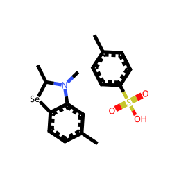 Cc1ccc(S(=O)(=O)O)cc1.Cc1ccc2c(c1)N(C)C(C)[Se]2